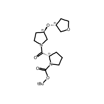 CC(C)(C)OC(=O)N1CCC[C@H]1C(=O)N1CC[C@@H](O[C@@H]2CCOC2)C1